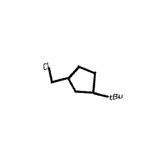 CC(C)(C)C1CCC(CCl)C1